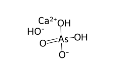 O=[As]([O-])(O)O.[Ca+2].[OH-]